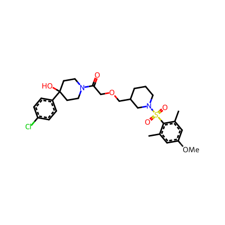 COc1cc(C)c(S(=O)(=O)N2CCCC(COCC(=O)N3CCC(O)(c4ccc(Cl)cc4)CC3)C2)c(C)c1